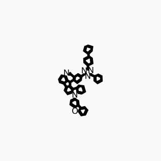 N#Cc1cc(-c2nc(-c3ccccc3)nc(-c3ccc(-c4ccccc4)cc3)n2)ccc1C1c2ccccc2-c2ccc3c(c21)c1ccccc1n3-c1ccc2oc3ccccc3c2c1